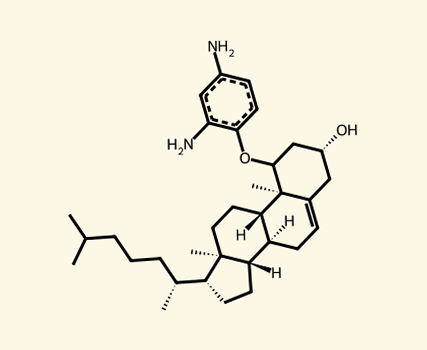 CC(C)CCC[C@@H](C)[C@H]1CC[C@H]2[C@@H]3CC=C4C[C@@H](O)CC(Oc5ccc(N)cc5N)[C@]4(C)[C@H]3CC[C@]12C